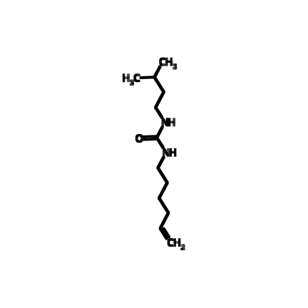 C=CCCCCNC(=O)NCCC(C)C